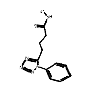 CCNC(=S)CCCc1nnnn1-c1ccccc1